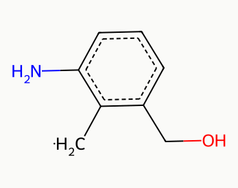 [CH2]c1c(N)cccc1CO